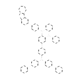 c1ccc(-c2ccc(N(c3ccc(-c4ccccc4)cc3)c3ccc(-c4ccc5c(c4)N(c4ccccc4)c4ccccc4N5c4ccc(-c5ccc6oc7ccccc7c6c5)cc4)cc3)cc2)cc1